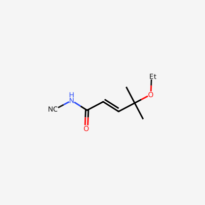 CCOC(C)(C)C=CC(=O)NC#N